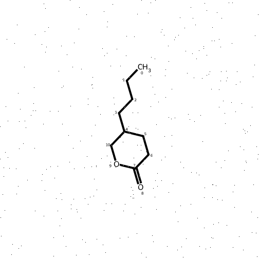 CCCCC1CCC(=O)OC1